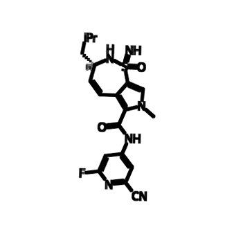 CC(C)C[C@H]1C=Cc2c(cn(C)c2C(=O)Nc2cc(F)nc(C#N)c2)S(=N)(=O)N1